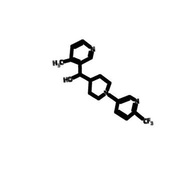 Cc1ccncc1C(O)C1CCN(c2ccc(C(F)(F)F)nc2)CC1